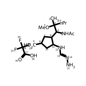 CCCC(C)(OC)C(NC(C)=O)C1CC(C(=O)O)CC1NC=NN.O=C(O)C(F)(F)F